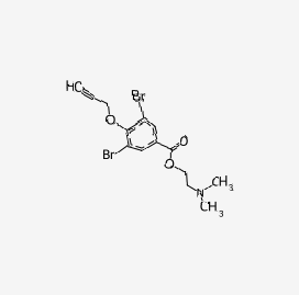 C#CCOc1c(Br)cc(C(=O)OCCN(C)C)cc1Br